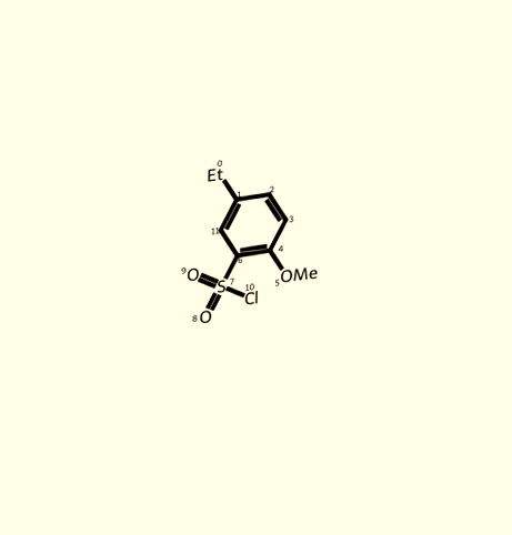 CCc1ccc(OC)c(S(=O)(=O)Cl)c1